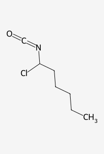 CCCCCC(Cl)N=C=O